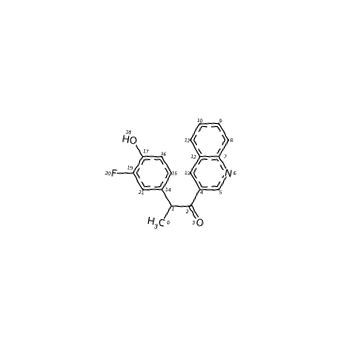 CC(C(=O)c1cnc2ccccc2c1)c1ccc(O)c(F)c1